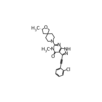 C[C@H]1CC2(CCN(c3nc4[nH]nc(C#Cc5ccccc5Cl)c4c(=O)n3C)CC2)CO1